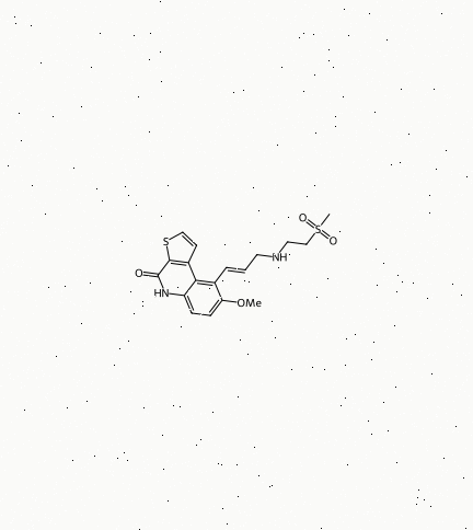 COc1ccc2[nH]c(=O)c3sccc3c2c1C=CCNCCS(C)(=O)=O